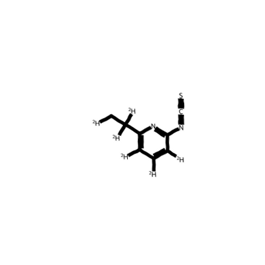 [2H]CC([2H])([2H])c1nc(N=C=S)c([2H])c([2H])c1[2H]